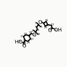 CC(C)(CCC(C)(C)OC1CC(CC(=O)O)C1)OCC1CCC(C(=O)O)CC1